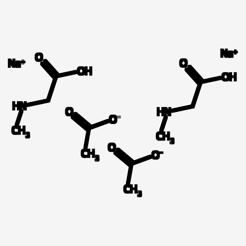 CC(=O)[O-].CC(=O)[O-].CNCC(=O)O.CNCC(=O)O.[Na+].[Na+]